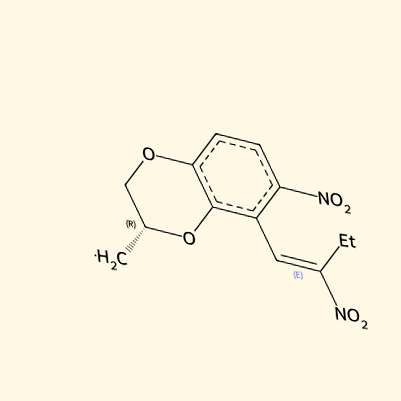 [CH2][C@@H]1COc2ccc([N+](=O)[O-])c(/C=C(\CC)[N+](=O)[O-])c2O1